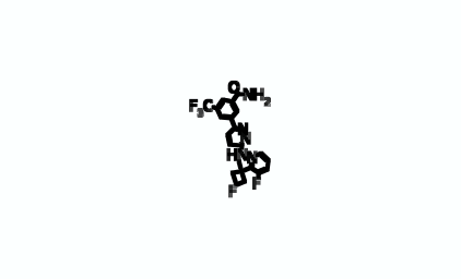 NC(=O)c1cc(-c2ccc(NCC3(c4ncccc4F)CC(F)C3)nn2)cc(C(F)(F)F)c1